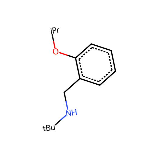 CC(C)Oc1ccccc1CNC(C)(C)C